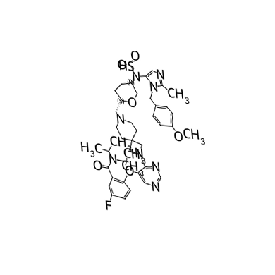 COc1ccc(Cn2c(N([C@@H]3CC[C@@H](CN4CCC5(CC4)CN(c4ncncc4Oc4ccc(F)cc4C(=O)N(C(C)C)C(C)C)C5)OC3)[SH](=O)=O)cnc2C)cc1